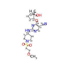 COCCS(=O)(=O)N1CCC(Nc2ncc(C#N)c(OC3CCCC3(C)O)n2)CC1